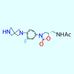 CC(=O)NC[C@H]1CN(c2ccc(N3CC4(CNC4)C3)c(F)c2)C(=O)O1